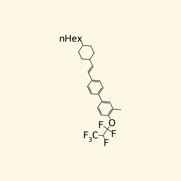 CCCCCCC1CCC(/C=C/c2ccc(-c3ccc(OC(F)(F)C(F)C(F)(F)F)c(C)c3)cc2)CC1